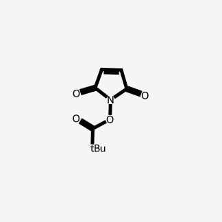 CC(C)(C)C(=O)ON1C(=O)C=CC1=O